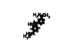 C=C(N)c1cccc(-c2c[nH]c3cc(CNC)ccc23)c1